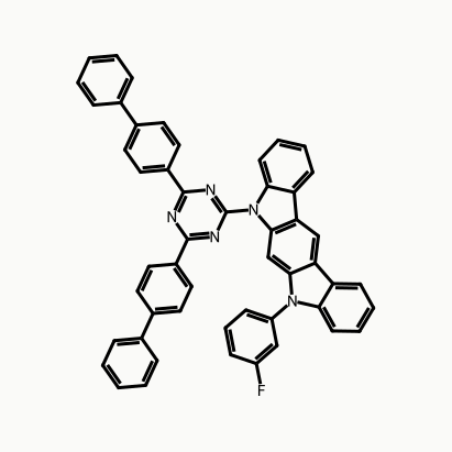 Fc1cccc(-n2c3ccccc3c3cc4c5ccccc5n(-c5nc(-c6ccc(-c7ccccc7)cc6)nc(-c6ccc(-c7ccccc7)cc6)n5)c4cc32)c1